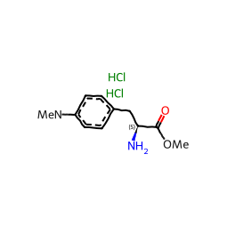 CNc1ccc(C[C@H](N)C(=O)OC)cc1.Cl.Cl